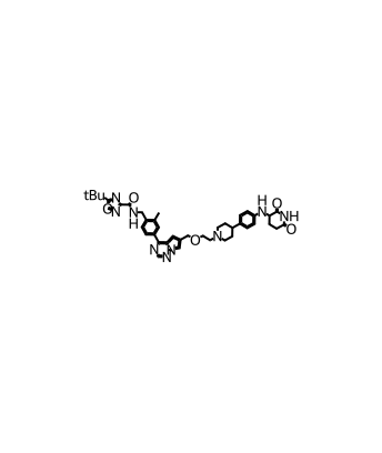 Cc1cc(-c2ncnn3cc(COCCN4CCC(c5ccc(NC6CCC(=O)NC6=O)cc5)CC4)cc23)ccc1CNC(=O)c1noc(C(C)(C)C)n1